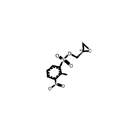 Cc1c([N+](=O)[O-])cccc1S(=O)(=O)OC[C@H]1CO1